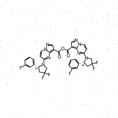 O=C(OC(=O)c1cnn2ccc(N3CC(F)(F)C[C@@H]3c3cccc(F)c3)nc12)c1cnn2ccc(N3CC(F)(F)C[C@@H]3c3cccc(F)c3)nc12